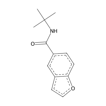 CC(C)(C)NC(=O)c1ccc2occc2c1